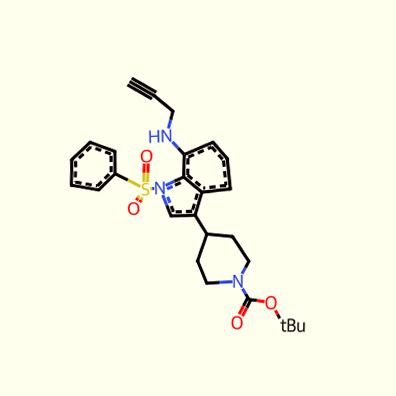 C#CCNc1cccc2c(C3CCN(C(=O)OC(C)(C)C)CC3)cn(S(=O)(=O)c3ccccc3)c12